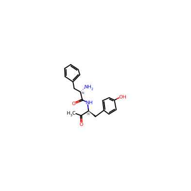 CC(=O)[C@H](Cc1ccc(O)cc1)NC(=O)[C@@H](N)Cc1ccccc1